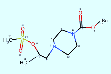 C[C@@H](CN1CCN(C(=O)OC(C)(C)C)CC1)OS(C)(=O)=O